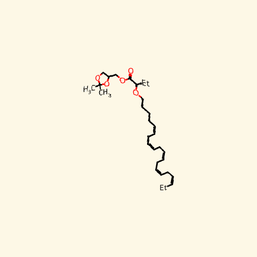 CC/C=C\C/C=C\C/C=C\C/C=C\C/C=C\CCCCOC(CC)C(=O)OCC1COC(C)(C)O1